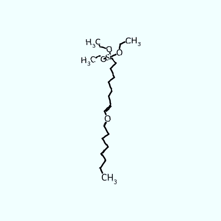 CCCCCCCCOC=CCCCCCC[Si](OCC)(OCC)OCC